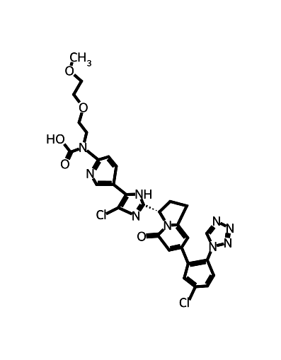 COCCOCCN(C(=O)O)c1ccc(-c2[nH]c([C@@H]3CCc4cc(-c5cc(Cl)ccc5-n5cnnn5)cc(=O)n43)nc2Cl)cn1